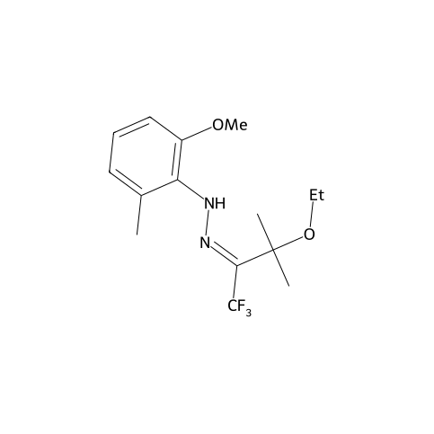 CCOC(C)(C)/C(=N\Nc1c(C)cccc1OC)C(F)(F)F